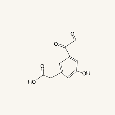 O=CC(=O)c1cc(O)cc(CC(=O)O)c1